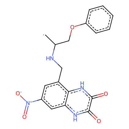 [CH2]C(COc1ccccc1)NCc1cc([N+](=O)[O-])cc2[nH]c(=O)c(=O)[nH]c12